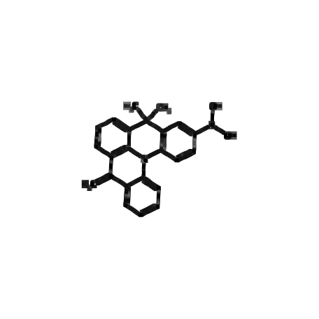 C=C1c2ccccc2N2c3ccc(B(O)O)cc3C(C)(C)c3cccc1c32